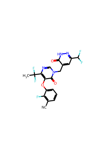 CC(F)(F)c1ncn(Cc2cc(C(F)F)n[nH]c2=O)c(=O)c1Oc1cccc(C#N)c1F